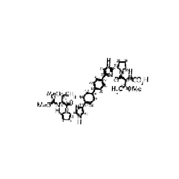 COC(=O)N[C@H](C(=O)N1CCC[C@H]1c1nc(C2=CCC(c3ccc(-c4c[nH]c([C@@H]5CCCN5C(=O)[C@@H](NC(=O)O)[C@@H](C)OC)n4)cc3)CC2)c[nH]1)[C@@H](C)OC